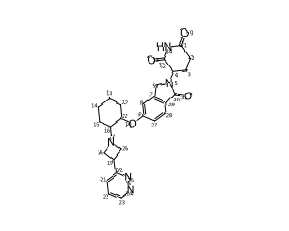 O=C1CCC(N2Cc3cc(OC4CCCCC4N4CC(c5cccnn5)C4)ccc3C2=O)C(=O)N1